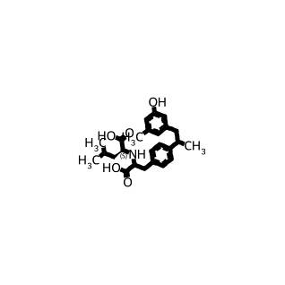 Cc1cc(O)cc(CC(C)c2ccc(CC(N[C@@H](CC(C)C)C(=O)O)C(=O)O)cc2)c1